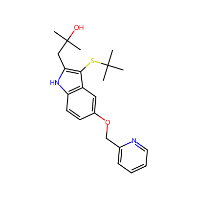 CC(C)(O)Cc1[nH]c2ccc(OCc3ccccn3)cc2c1SC(C)(C)C